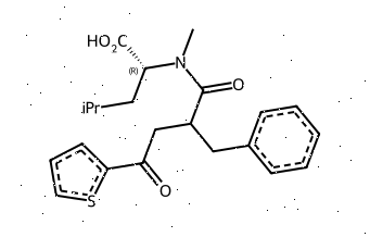 CC(C)C[C@H](C(=O)O)N(C)C(=O)C(CC(=O)c1cccs1)Cc1ccccc1